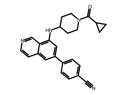 N#Cc1ccc(-c2cc(NC3CCN(C(=O)C4CC4)CC3)c3cnccc3c2)cc1